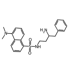 CN(C)c1cccc2c(S(=O)(=O)NCCC(N)Cc3ccccc3)cccc12